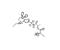 CCN[C@H]1C[C@H](C)S(=O)(=O)c2sc(S(=O)(=O)NC(=O)C(C)OC(=O)C(C)O)cc21